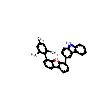 Cc1cc(C)c(-c2cccc3c2oc2c(-c4ccc5[nH]c6ccccc6c5c4)cccc23)c(C)c1